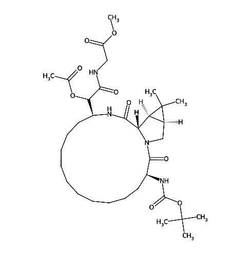 COC(=O)CNC(=O)C(OC(C)=O)[C@@H]1CCCCCCCCCC[C@H](NC(=O)OC(C)(C)C)C(=O)N2C[C@H]3[C@@H]([C@H]2C(=O)N1)C3(C)C